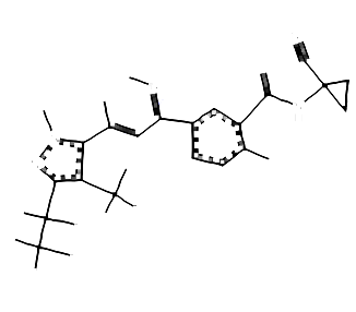 C/N=C(\C=C(/C)c1c(C(F)(F)F)c(C(F)(F)C(F)(F)F)nn1C)c1ccc(Cl)c(C(=O)NC2(C#N)CC2)c1